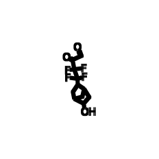 O=CC(=O)C(F)(F)C(F)(F)C1CC2CC1CC2O